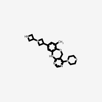 Cc1cc(C2CN(C3CNC3)C2)cc2c1OCc1c(ncnc1N1CCSCC1)N2